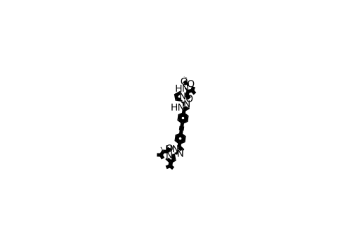 COC(=O)N[C@H](C(=O)N1CCC[C@H]1c1ncc(-c2ccc(C#Cc3ccc(-c4cnc([C@@H]5CC(=C(C)C)CN5C(=O)[C@@H](C)C(C)C)[nH]4)cc3)cc2)[nH]1)C(C)C